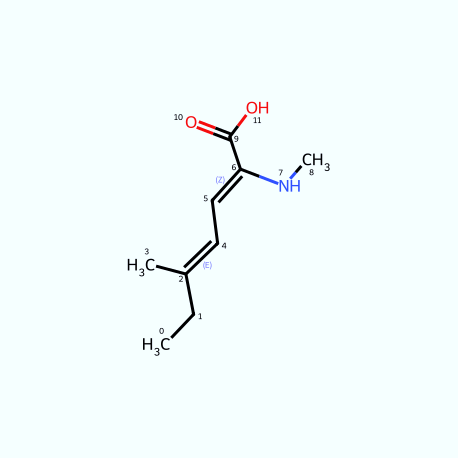 CC/C(C)=C/C=C(\NC)C(=O)O